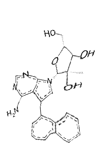 C[C@@]1(O)C(O)[C@@H](CO)O[C@H]1n1cc(-c2cccc3ccccc23)c2c(N)ncnc21